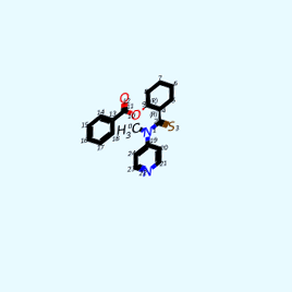 CN(C(=S)[C@@H]1CCCC[C@H]1OC(=O)c1ccccc1)c1ccncc1